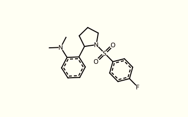 CN(C)c1ccccc1C1CCCN1S(=O)(=O)c1ccc(F)cc1